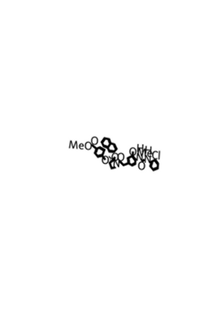 COC(=O)c1ccc(OC[C@@]2(Oc3ccc4ccccc4c3)CCCN2C(=O)Cc2ccc(NC(=O)Nc3ccccc3Cl)c(OC)c2)cc1